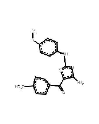 Nc1nc(Nc2ccc(OC(F)(F)F)cc2)sc1C(=O)c1ccc(C(=O)O)cc1